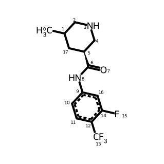 CC1CNC[C@@H](C(=O)Nc2ccc(C(F)(F)F)c(F)c2)C1